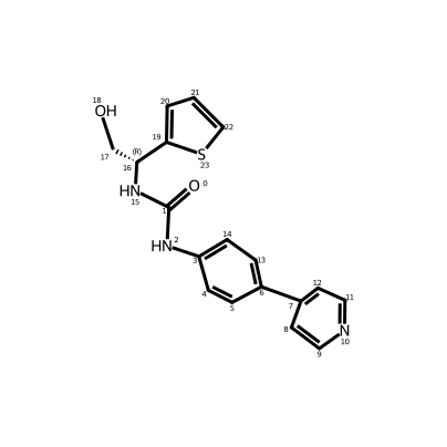 O=C(Nc1ccc(-c2ccncc2)cc1)N[C@H](CO)c1cccs1